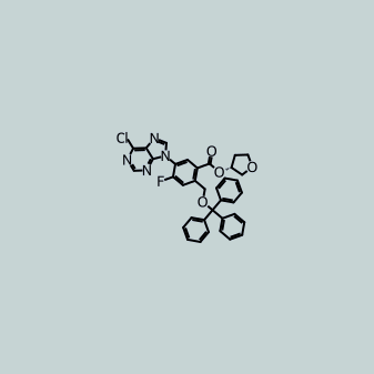 O=C(O[C@@H]1CCOC1)c1cc(-n2cnc3c(Cl)ncnc32)c(F)cc1COC(c1ccccc1)(c1ccccc1)c1ccccc1